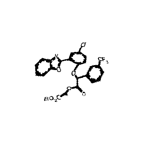 CCOC(=O)COC(=O)C(Oc1ccc(Cl)cc1-c1nc2ccccc2o1)c1cccc(C(F)(F)F)c1